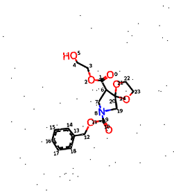 O=C(OCCO)C1CN(C(=O)OCc2ccccc2)CC12OCCO2